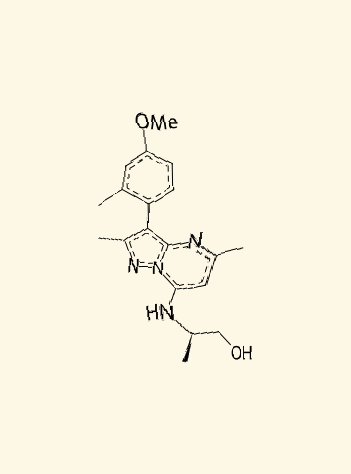 COc1ccc(-c2c(C)nn3c(N[C@H](C)CO)cc(C)nc23)c(C)c1